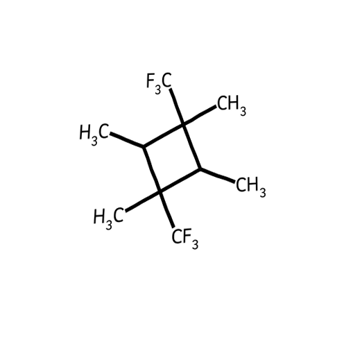 CC1C(C)(C(F)(F)F)C(C)C1(C)C(F)(F)F